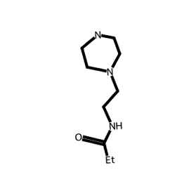 CCC(=O)NCCN1CC[N]CC1